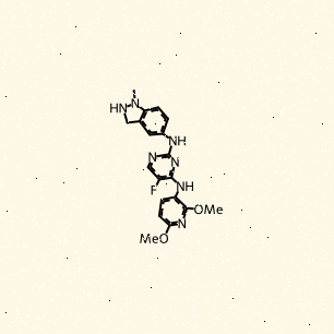 COc1ccc(Nc2nc(Nc3ccc4c(c3)CNN4C)ncc2F)c(OC)n1